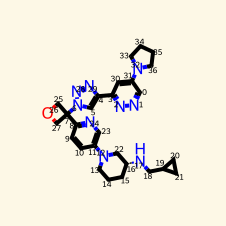 c1nnc(-c2cn(C3(c4ccc(N5CCC[C@@H](NCC6CC6)C5)cn4)COC3)nn2)cc1N1CCCC1